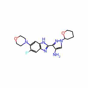 Nc1cn(C2CCCCO2)nc1-c1nc2cc(F)c(N3CCOCC3)cc2[nH]1